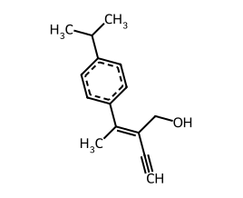 C#CC(CO)=C(C)c1ccc(C(C)C)cc1